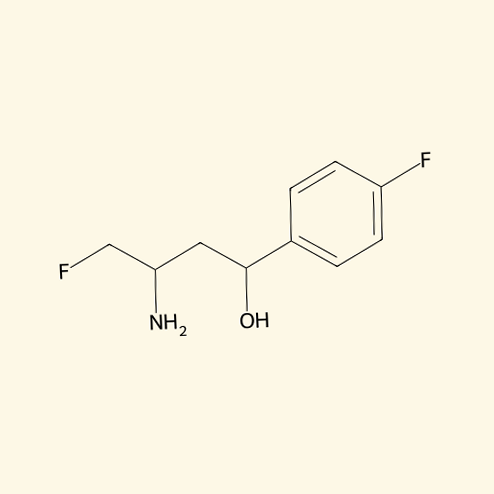 NC(CF)CC(O)c1ccc(F)cc1